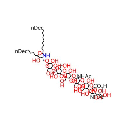 CCCCCCCCCCCCC/C=C/[C@@H](O)[C@H](CO[C@@H]1OC(CO)[C@@H](O[C@@H]2OC(CO)[C@H](O[C@@H]3OC(CO)[C@H](O)[C@H](O[C@@H]4OC(CO)[C@H](O)[C@H](O[C@@H]5OC(CO)[C@H](O)[C@H](O[C@]6(C(=O)O)CC(O)[C@@H](NC(C)=O)C([C@H](O)[C@H](O)CO)O6)C5O)C4NC(C)=O)C3O)[C@H](O)C2O)[C@H](O)C1O)NC(=O)CCCCCCCCCCCCCCCCCCC